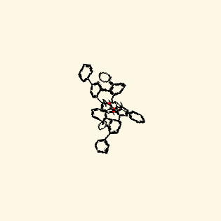 c1ccc(-c2nc(-c3cccc4oc5c(-c6ccccc6)ccc(-c6ccccc6)c5c34)nc(-c3cccc4oc5c(-c6ccccc6)ccc(-c6ccccc6)c5c34)n2)cc1